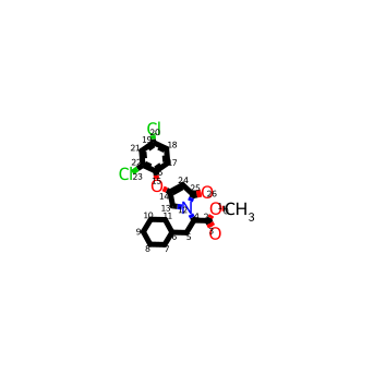 COC(=O)C(CC1CCCCC1)N1CC(Oc2ccc(Cl)cc2Cl)=CC1=O